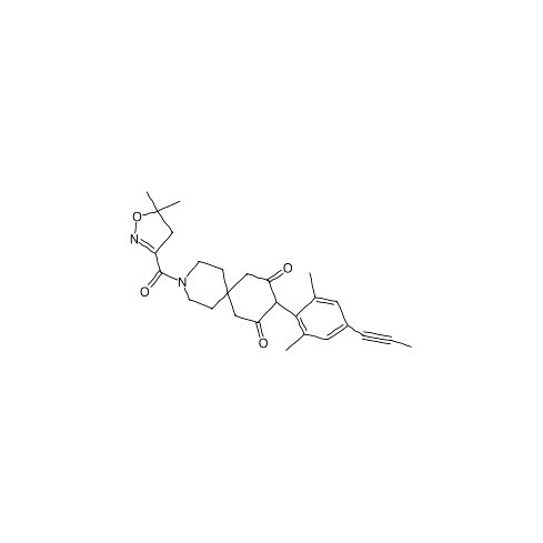 CC#Cc1cc(C)c(C2C(=O)CC3(CCN(C(=O)C4=NOC(C)(C)C4)CC3)CC2=O)c(C)c1